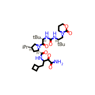 CC(C)[C@@H]1C[C@@H](C(=O)NC(CC2CCC2)C(=O)C(N)=O)N(C(=O)[C@@H](NC(=O)N[C@H](CN2CCCOC2=O)C(C)(C)C)C(C)(C)C)C1